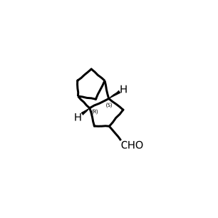 O=CC1C[C@@H]2C3CCC(C3)[C@@H]2C1